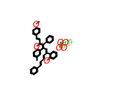 COc1ccc(C=Cc2[o+]c3ccc(C)cc3c(C=C3C=C(C=Cc4ccccc4)Oc4ccccc43)c2-c2ccccc2)cc1.[O-][Cl+3]([O-])([O-])[O-]